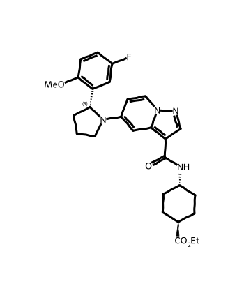 CCOC(=O)[C@H]1CC[C@H](NC(=O)c2cnn3ccc(N4CCC[C@@H]4c4cc(F)ccc4OC)cc23)CC1